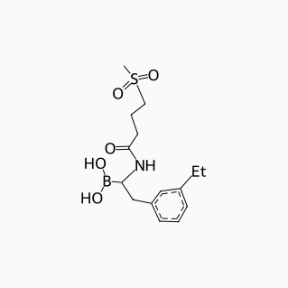 CCc1cccc(CC(NC(=O)CCCS(C)(=O)=O)B(O)O)c1